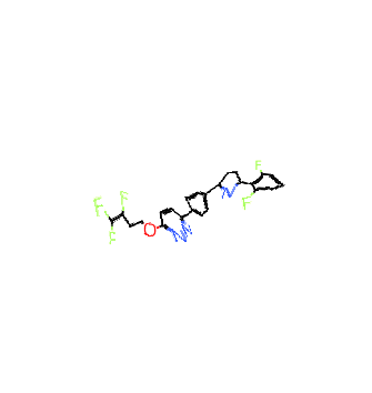 Fc1cccc(F)c1C1=NC(c2ccc(-c3ccc(OCCC(F)C(F)F)nn3)cc2)CC1